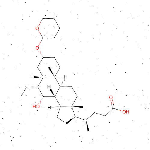 CC[C@H]1[C@@H](O)[C@@H]2[C@H](CC[C@]3(C)[C@@H]([C@H](C)CCC(=O)O)CC[C@@H]23)[C@@]2(C)CC[C@@H](OC3CCCCO3)C[C@@H]12